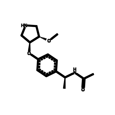 CO[C@H]1CNC[C@@H]1Oc1ccc([C@H](C)NC(C)=O)cc1